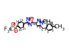 Cc1ccc(Cc2cc(-c3nc(-c4ccc(S(=O)(=O)C(F)(F)F)cc4)no3)nn2C)cc1